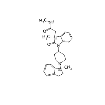 CNC(=O)C[C@]1(C)C(=O)N(C2CCN([C@@]3(C)CCc4ccccc43)CC2)c2ccccc21